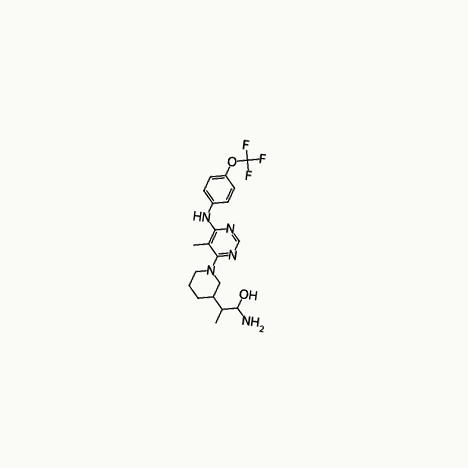 Cc1c(Nc2ccc(OC(F)(F)F)cc2)ncnc1N1CCCC(C(C)C(N)O)C1